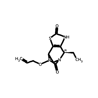 C=CCON1C(=O)N2CC1c1sc(=O)[nH]c1[C@H]2CC